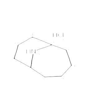 C1CCC2CCCC(C1)N2.Cl